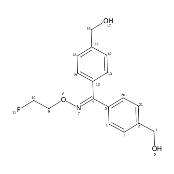 OCc1ccc(C(=NOCCF)c2ccc(CO)cc2)cc1